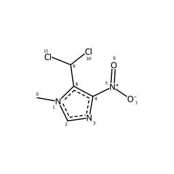 Cn1cnc([N+](=O)[O-])c1C(Cl)Cl